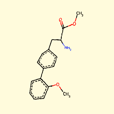 COC(=O)C(N)Cc1ccc(-c2ccccc2OC)cc1